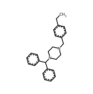 CCc1ccc(CN2CCN(C(c3ccccc3)c3ccccc3)CC2)cc1